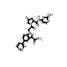 NC(=O)c1nn(CC(=O)N2CC(F)CC2C(=O)Nc2ccnc(O)n2)c2ccc(-c3ccnnc3)cc12